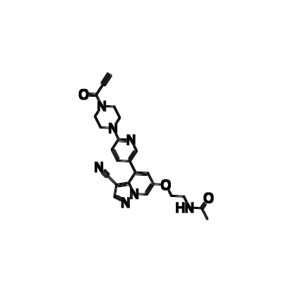 C#CC(=O)N1CCN(c2ccc(-c3cc(OCCNC(C)=O)cn4ncc(C#N)c34)cn2)CC1